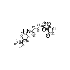 CCN(CC)c1ccc(NC(=O)CCCC(=O)ON2C(=O)CCC2=O)cc1